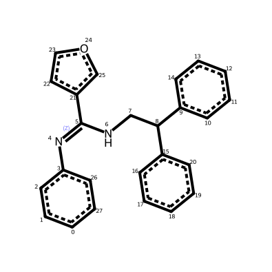 c1ccc(/N=C(\NCC(c2ccccc2)c2ccccc2)c2ccoc2)cc1